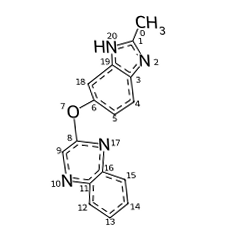 Cc1nc2ccc(Oc3cnc4ccccc4n3)cc2[nH]1